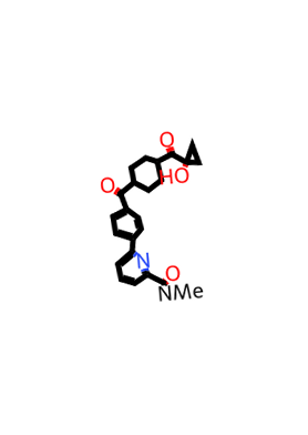 CNC(=O)c1cccc(-c2ccc(C(=O)C3CCC(C(=O)C4(O)CC4)CC3)cc2)n1